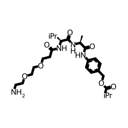 CC(C)C(=O)OCc1ccc(NC(=O)[C@H](C)NC(=O)[C@@H](NC(=O)CCOCCOCCN)C(C)C)cc1